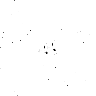 O=[SH][O-].O=[SH][O-].[Sn+2]